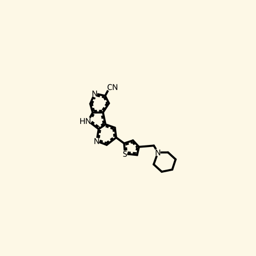 N#Cc1cc2c(cn1)[nH]c1ncc(-c3cc(CN4CCCCC4)cs3)cc12